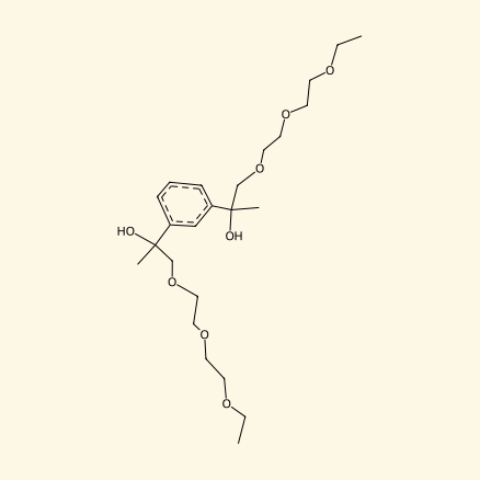 CCOCCOCCOCC(C)(O)c1cccc(C(C)(O)COCCOCCOCC)c1